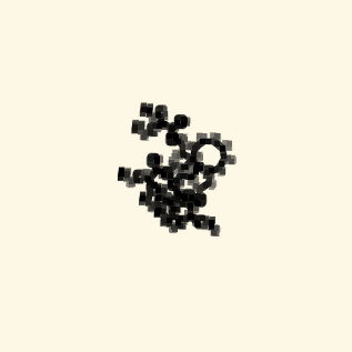 C=C(C)C(=O)OCCP1CCCCCCC(CCOC(=O)C(=C)C)(CCOC(=O)C(=C)C)P1CCOC(=O)C(=C)C